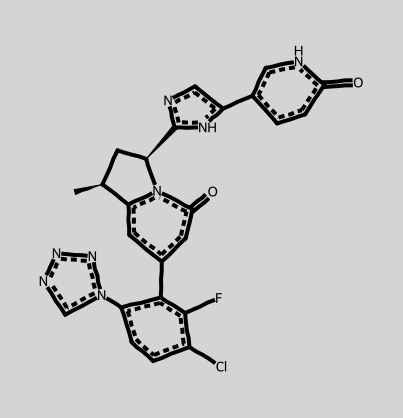 C[C@H]1C[C@@H](c2ncc(-c3ccc(=O)[nH]c3)[nH]2)n2c1cc(-c1c(-n3cnnn3)ccc(Cl)c1F)cc2=O